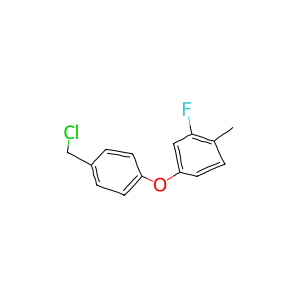 Cc1ccc(Oc2ccc(CCl)cc2)cc1F